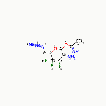 [N-]=[N+]=NCC1OC(OC(=N)C(Cl)(Cl)Cl)C(N)C(F)C1(F)F